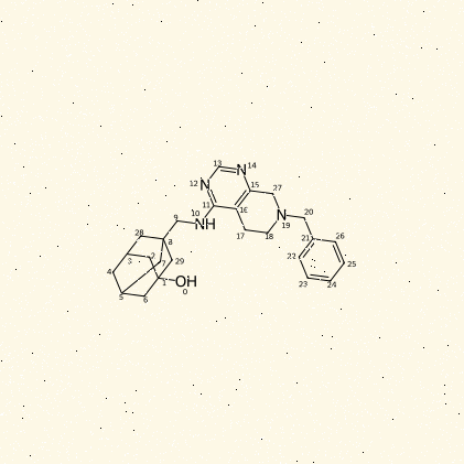 OC12CC3CC(C1)CC(CNc1ncnc4c1CCN(Cc1ccccc1)C4)(C3)C2